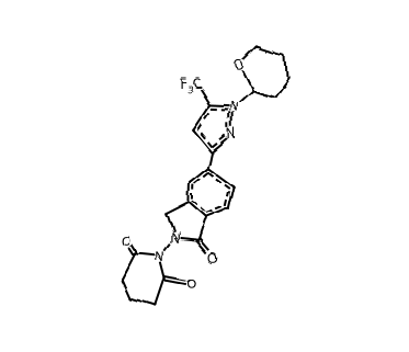 O=C1c2ccc(-c3cc(C(F)(F)F)n(C4CCCCO4)n3)cc2CN1N1C(=O)CCCC1=O